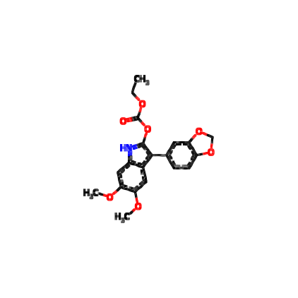 CCOC(=O)Oc1[nH]c2cc(OC)c(OC)cc2c1-c1ccc2c(c1)OCO2